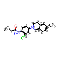 CC(C)(C)CC(=O)Nc1ccc(N2C=C3CC=C(C(F)(F)F)C=C3CC2)cc1Cl